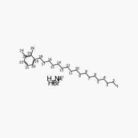 Br.CCCCCCCCCCCCCCCCCCc1cccc(C)c1C.CN